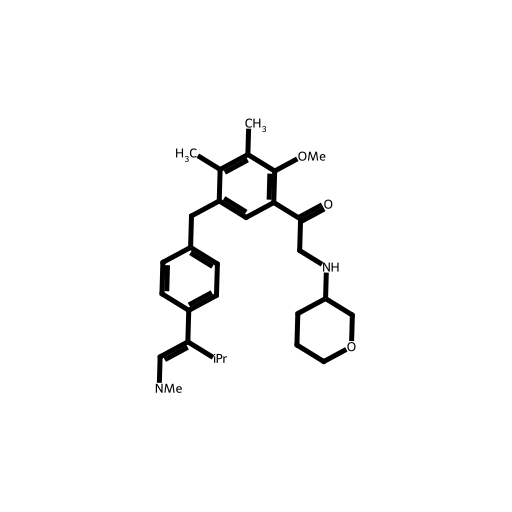 CN/C=C(/c1ccc(Cc2cc(C(=O)CNC3CCCOC3)c(OC)c(C)c2C)cc1)C(C)C